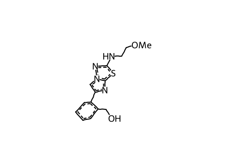 COCCNc1nn2cc(-c3ccccc3CO)nc2s1